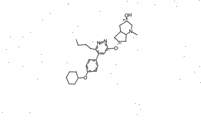 CCCCc1nnc(O[C@@H]2CC3C[C@@H](O)CN(C)C3C2)cc1-c1ccc(OC2CCCCC2)cc1